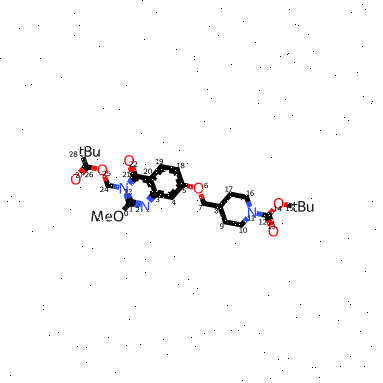 COc1nc2cc(OCC3CCN(C(=O)OC(C)(C)C)CC3)ccc2c(=O)n1COC(=O)C(C)(C)C